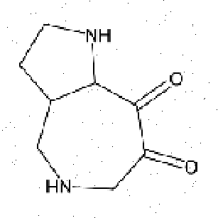 O=C1CNCC2CCNC2C1=O